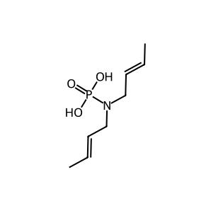 C/C=C/CN(C/C=C/C)P(=O)(O)O